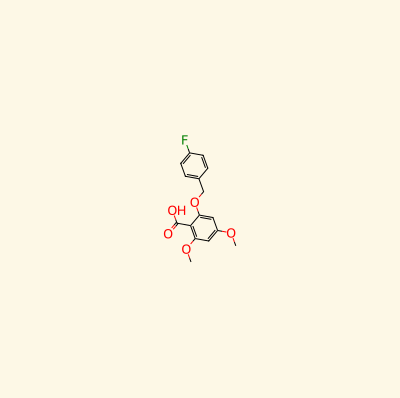 COc1cc(OC)c(C(=O)O)c(OCc2ccc(F)cc2)c1